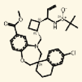 C=CC(N[S@+]([O-])C(C)(C)C)[C@@H]1CC[C@H]1CN1C[C@@]2(CCCc3cc(Cl)ccc32)COc2ccc(C(=O)OC)cc21